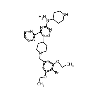 CCOc1cc(CN2CCC(c3cnc(N(N)C4CCNCC4)nc3-c3ncccn3)CC2)cc(OCC)c1Br